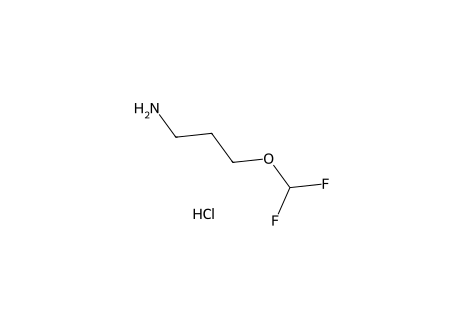 Cl.NCCCOC(F)F